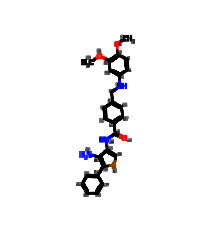 COc1ccc(NCc2ccc(C(=O)Nc3csc(-c4ccccc4)c3N)cc2)cc1OC